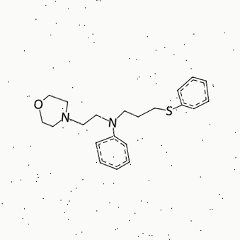 c1ccc(SCCCN(CCN2CCOCC2)c2ccccc2)cc1